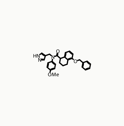 COc1ccc(N(Cc2cn[nH]c2)C(=O)C2CCCc3c(OCc4ccccc4)cccc32)cc1